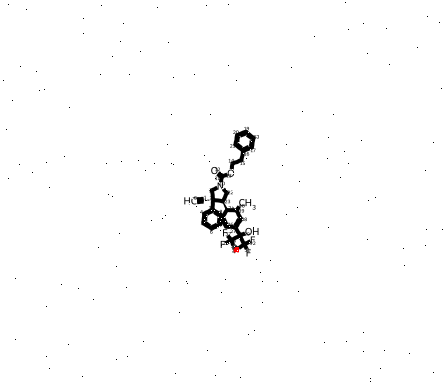 C#C[C@]1(c2ccccc2)CN(C(=O)OCCc2ccccc2)C[C@H]1C1C=CC(C(O)(C(F)(F)F)C(F)(F)F)=CC1C